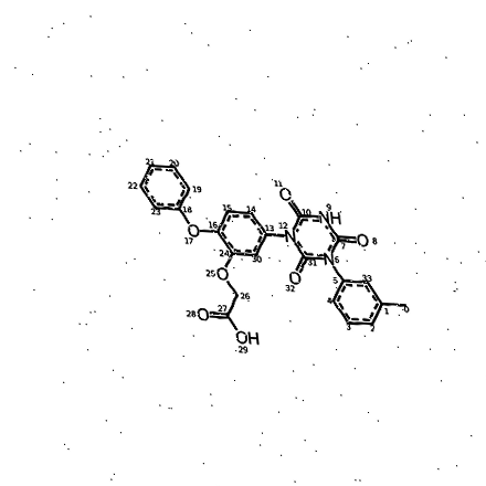 Cc1cccc(-n2c(=O)[nH]c(=O)n(-c3ccc(Oc4ccccc4)c(OCC(=O)O)c3)c2=O)c1